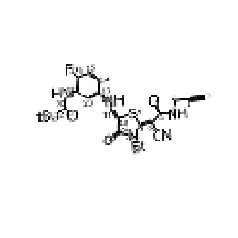 C#CCNC(=O)C(C#N)=c1sc(=CNc2ccc(F)c(NC(=O)C(C)(C)C)c2)c(=O)n1CC